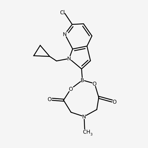 CN1CC(=O)OB(c2cc3ccc(Cl)nc3n2CC2CC2)OC(=O)C1